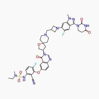 CCN(C)S(=O)(=O)Nc1ccc(F)c(Oc2ccc3ncn([C@H]4COC5(CCN(CC6CN(c7cc8c(cc7F)c(N7CCC(=O)NC7=O)nn8C)C6)CC5)C4)c(=O)c3c2)c1C#N